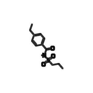 CCCS(=O)(=O)[N]C(=O)c1ccc(CC)cc1